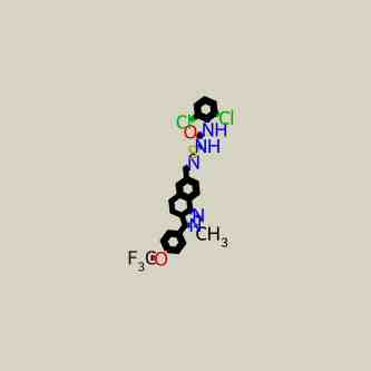 CN1N=C2c3ccc(/C=N/SNC(=O)Nc4c(Cl)cccc4Cl)cc3CCC2C1c1ccc(OC(F)(F)F)cc1